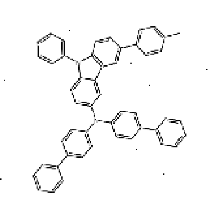 Cc1ccc(-c2ccc3c(c2)c2cc(N(c4ccc(-c5ccccc5)cc4)c4ccc(-c5ccccc5)cc4)ccc2n3-c2ccccc2)cc1